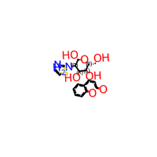 N[C@H]1C(O)O[C@H](CO)[C@@H](O)[C@@H]1O.O=c1ccc2ccccc2o1.c1cscn1